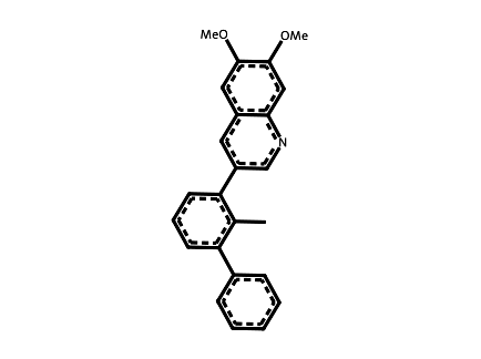 COc1cc2cc(-c3cccc(-c4ccccc4)c3C)cnc2cc1OC